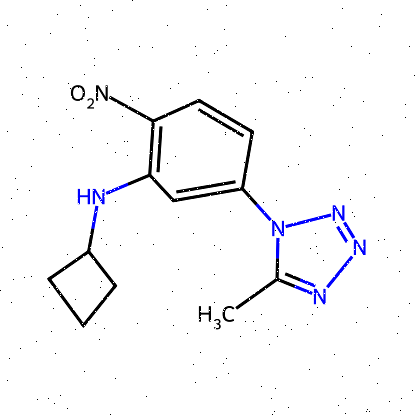 Cc1nnnn1-c1ccc([N+](=O)[O-])c(NC2CCC2)c1